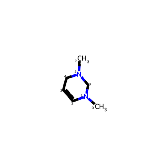 CN1C=CCN(C)C1